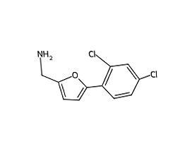 NCc1ccc(-c2ccc(Cl)cc2Cl)o1